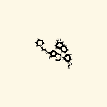 CCN(Cc1ccc(OCCN2CCCCC2)c(F)c1)c1cc(OC)ccc1[C@H]1CCc2cc(O)ccc2C1